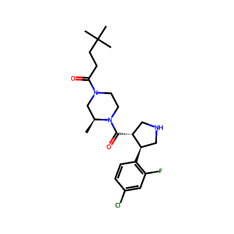 C[C@H]1CN(C(=O)CCC(C)(C)C)CCN1C(=O)[C@@H]1CNC[C@H]1c1ccc(Cl)cc1F